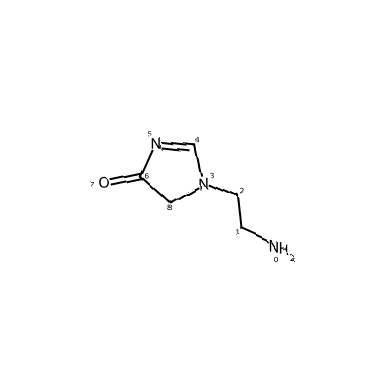 NCCN1C=NC(=O)C1